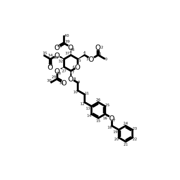 CC(=O)OC[C@H]1O[C@@H](OCCCCc2ccc(OCc3ccccc3)cc2)[C@H](OC(C)=O)[C@@H](OC(C)=O)[C@@H]1OC(C)=O